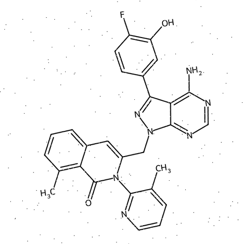 Cc1cccnc1-n1c(Cn2nc(-c3ccc(F)c(O)c3)c3c(N)ncnc32)cc2cccc(C)c2c1=O